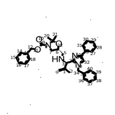 C=C(C)[C@@H](NC[C@@H]1CN(C(=O)OCc2ccccc2)C(C)(C)O1)c1nc(-c2ccccc2)cn1Cc1ccccc1